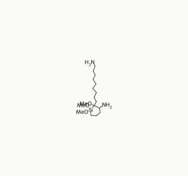 COC1(CCCCCCCCCN)C(N)CCC[Si]1(OC)OC